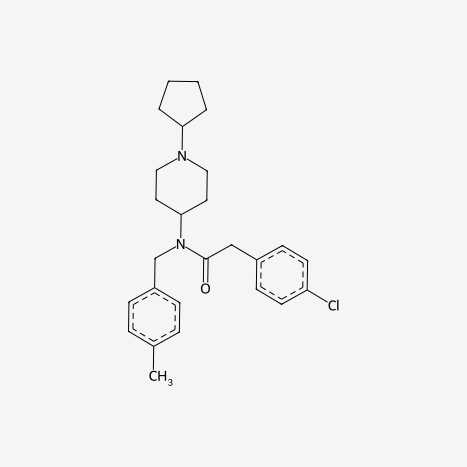 Cc1ccc(CN(C(=O)Cc2ccc(Cl)cc2)C2CCN(C3CCCC3)CC2)cc1